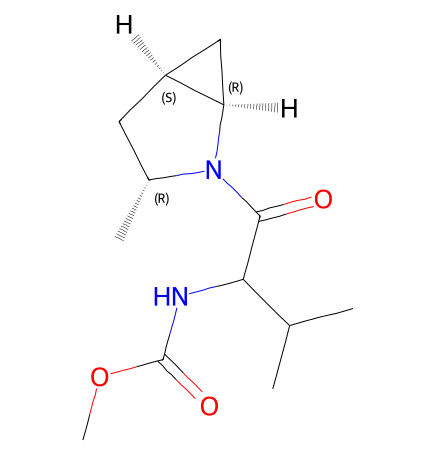 COC(=O)NC(C(=O)N1[C@H](C)C[C@H]2C[C@H]21)C(C)C